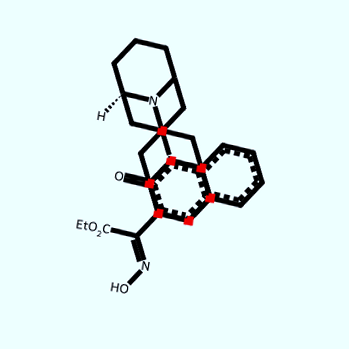 CCOC(=O)C(=NO)c1nc2ccccc2n(C2CC3CCC[C@H](C2)N3C2CC3CCCC(C3)C2)c1=O